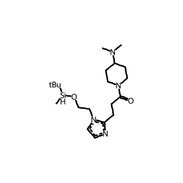 CN(C)C1CCN(C(=O)CCc2nccn2CCO[SiH](C)C(C)(C)C)CC1